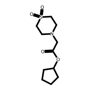 O=C(CN1CCS(=O)(=O)CC1)OC1CCCC1